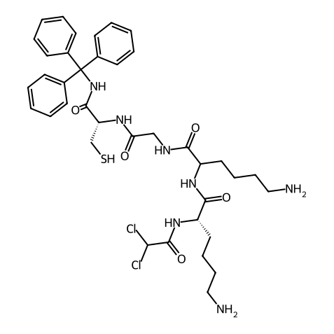 NCCCCC(NC(=O)[C@H](CCCCN)NC(=O)C(Cl)Cl)C(=O)NCC(=O)N[C@H](CS)C(=O)NC(c1ccccc1)(c1ccccc1)c1ccccc1